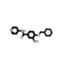 CCCc1cc(C(=O)Nc2ccncc2)ccc1OCC1CCCCC1